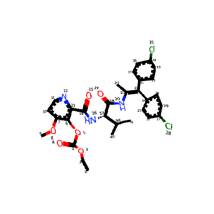 CCOC(=O)Oc1c(OC)ccnc1C(=O)N[C@H](C(=O)NC(C)=C(c1ccc(Cl)cc1)c1ccc(Cl)cc1)C(C)C